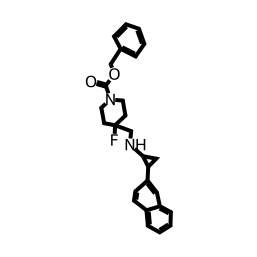 O=C(OCc1ccccc1)N1CCC(F)(CNC2CC2c2ccc3ccccc3c2)CC1